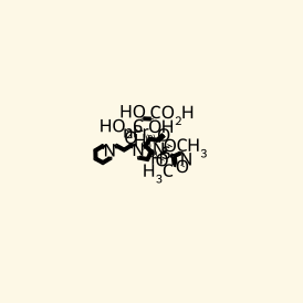 CCC[C@H]1C(=O)N(S(=O)(=O)c2c(C)noc2C)[C@H]2CCN(C(=O)CCN3CCCCC3)[C@H]12.O=C(O)C(O)C(O)C(=O)O